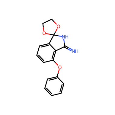 N=C1NC2(OCCO2)c2cccc(Oc3ccccc3)c21